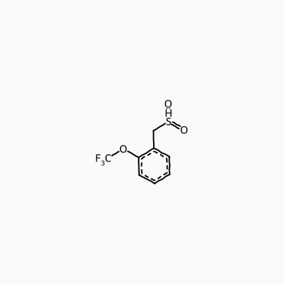 O=[SH](=O)Cc1ccccc1OC(F)(F)F